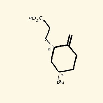 C=C1CC[C@H](C(C)(C)C)C[C@@H]1CCC(=O)O